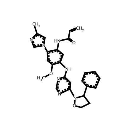 C=CC(=O)Nc1cc(Nc2cc(N3OCCC3c3ccccc3)ncn2)c(OC)cc1-n1cnc(C)c1